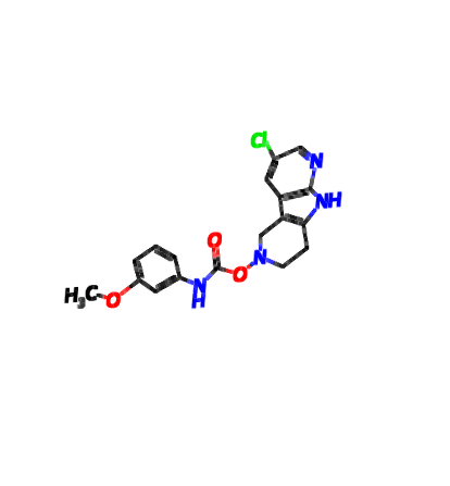 COc1cccc(NC(=O)ON2CCc3[nH]c4ncc(Cl)cc4c3C2)c1